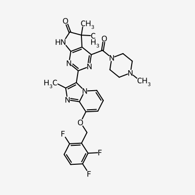 Cc1nc2c(OCc3c(F)ccc(F)c3F)cccn2c1-c1nc2c(c(C(=O)N3CCN(C)CC3)n1)C(C)(C)C(=O)N2